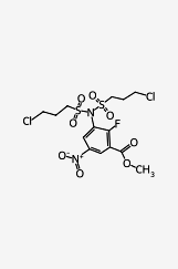 COC(=O)c1cc([N+](=O)[O-])cc(N(S(=O)(=O)CCCCl)S(=O)(=O)CCCCl)c1F